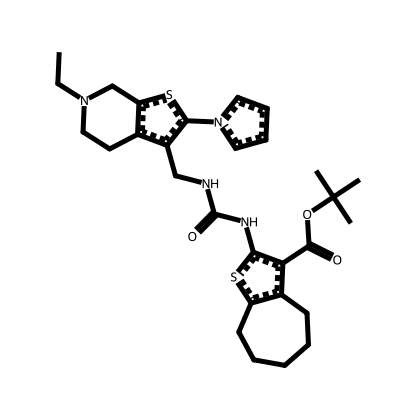 CCN1CCc2c(sc(-n3cccc3)c2CNC(=O)Nc2sc3c(c2C(=O)OC(C)(C)C)CCCCC3)C1